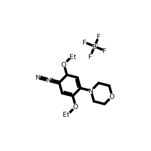 CCOC1=CC(=[N+]=[N-])C(OCC)C=C1N1CCOCC1.F[B-](F)(F)F